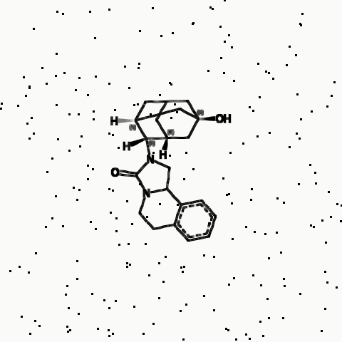 O=C1N2CCc3ccccc3C2CN1[C@H]1[C@@H]2CC3C[C@H]1C[C@](O)(C3)C2